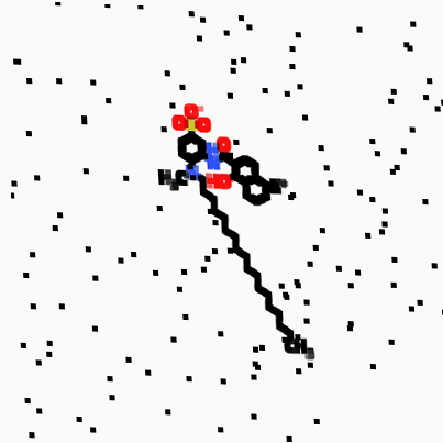 CCCCCCCCCCCCCCCCCCN(C)c1ccc(S(=O)(=O)[O-])cc1NC(=O)c1ccc2ccccc2c1O.[K+]